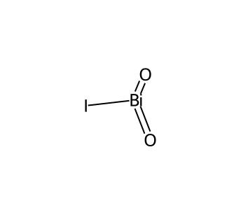 [O]=[Bi](=[O])[I]